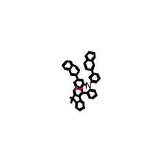 CC1(C)c2ccccc2-c2c(-c3ccccc3N(c3cccc(-c4ccc5ccccc5c4)c3)c3cccc(-c4ccc5ccccc5c4)c3)cccc21